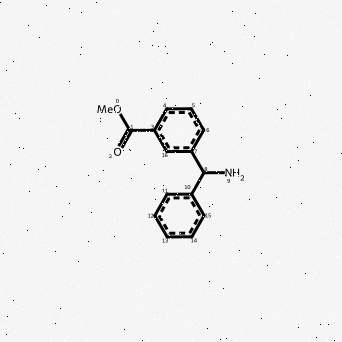 COC(=O)c1cccc(C(N)c2ccccc2)c1